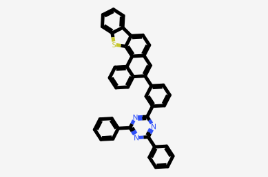 c1ccc(-c2nc(-c3ccccc3)nc(-c3cccc(-c4cc5ccc6c7ccccc7sc6c5c5ccccc45)c3)n2)cc1